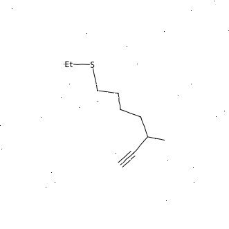 C#CC(C)CCCCS[CH]C